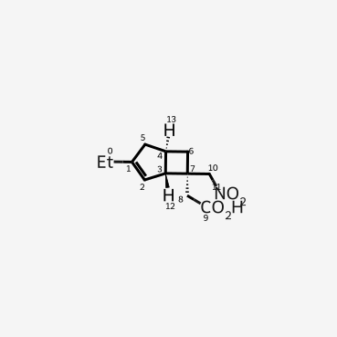 CCC1=C[C@@H]2[C@@H](C1)C[C@@]2(CC(=O)O)C[N+](=O)[O-]